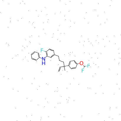 C=CC(C)(CCCc1ccc(F)c(Nc2ccccc2)c1)c1ccc(OC(F)F)cc1